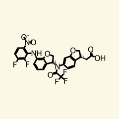 O=C(O)C[C@@H]1COc2cc(N(C(=O)C(F)(F)F)[C@@H]3COc4c(Nc5c([N+](=O)[O-])ccc(F)c5F)cccc43)ccc21